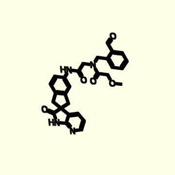 COCC(=O)N(CC(=O)Nc1ccc2c(c1)CC1(C2)C(=O)Nc2ncccc21)Cc1ccccc1C=O